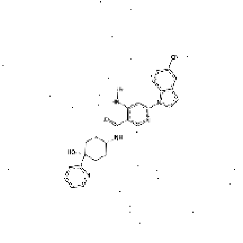 CC(C)Nc1cc(-n2ccc3cc(C#N)cnc32)ncc1C(=O)N[C@H]1CC[C@](O)(c2ccccn2)CC1